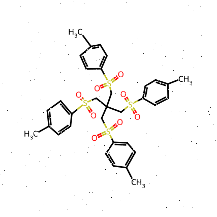 Cc1ccc(S(=O)(=O)CC(CS(=O)(=O)c2ccc(C)cc2)(CS(=O)(=O)c2ccc(C)cc2)CS(=O)(=O)c2ccc(C)cc2)cc1